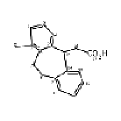 Cc1cccc2c1CCc1ccccc1C2CC(=O)O